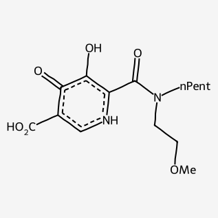 CCCCCN(CCOC)C(=O)c1[nH]cc(C(=O)O)c(=O)c1O